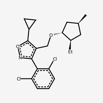 CC[C@@H]1C[C@H](C)C[C@H]1OCc1c(-c2c(Cl)cccc2Cl)noc1C1CC1